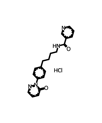 Cl.O=C(NCCCCc1ccc(-n2ncccc2=O)cc1)c1cccnc1